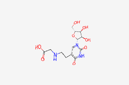 O=C(O)CNCCc1cn([C@@H]2O[C@H](CO)[C@@H](O)[C@H]2O)c(=O)[nH]c1=O